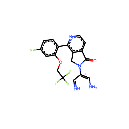 N=C/C(=C\N)N1Cc2c(ccnc2-c2ccc(F)cc2OCC(F)(F)F)C1=O